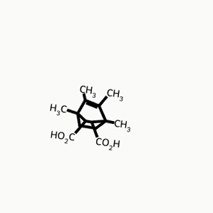 CC1=C(C)C2(C)CCC1(C)C(C(=O)O)C2C(=O)O